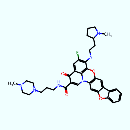 CN1CCN(CCCNC(=O)c2cn3c4c(c(NCCC5CCCN5C)c(F)cc4c2=O)Oc2cc4c(cc2-3)oc2ccccc24)CC1